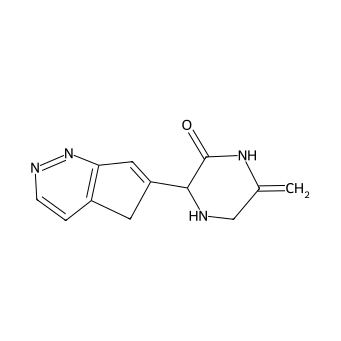 C=C1CNC(C2=Cc3nnccc3C2)C(=O)N1